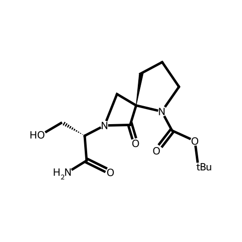 CC(C)(C)OC(=O)N1CCC[C@@]12CN([C@@H](CO)C(N)=O)C2=O